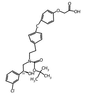 CC(C)(C)OC(=O)N(CCc1ccc(Cc2ccc(OCC(=O)O)cc2)cc1)C[C@@H](O)c1cccc(Cl)c1